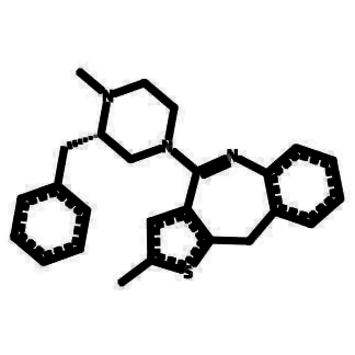 Cc1cc2c(s1)Cc1ccccc1N=C2N1CCN(C)[C@@H](Cc2ccccc2)C1